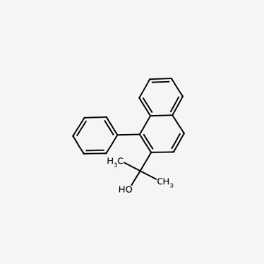 CC(C)(O)c1ccc2ccccc2c1-c1ccccc1